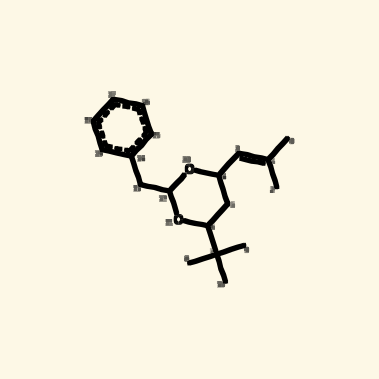 CC(C)=CC1CC(C(C)(C)C)OC(Cc2ccccc2)O1